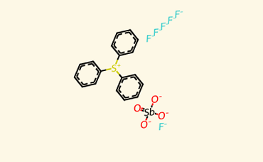 [F-].[F-].[F-].[F-].[F-].[F-].[O]=[Sb]([O-])([O-])[O-].c1ccc([S+](c2ccccc2)c2ccccc2)cc1